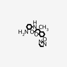 Cc1c(Nc2cccc(N)c2)c(=O)oc2cc(Oc3ncccn3)ccc12